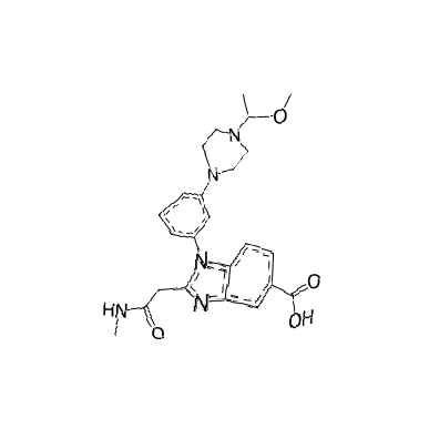 CNC(=O)Cc1nc2cc(C(=O)O)ccc2n1-c1cccc(N2CCN(C(C)OC)CC2)c1